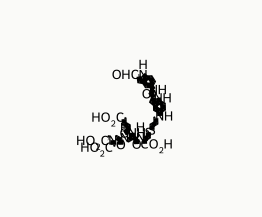 O=Cc1cc2cc(NC(=O)c3cc4cc(NCCCSSCC(NC(=O)C(CNC(=O)CN(CC(=O)O)CC(=O)O)NC(=O)CCCC(=O)O)C(=O)O)ccc4[nH]3)ccc2[nH]1